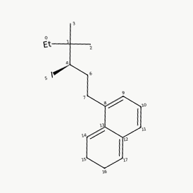 CCC(C)(C)[C@H](I)CCc1cccc2c1=CCCC=2